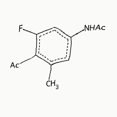 CC(=O)Nc1cc(C)c(C(C)=O)c(F)c1